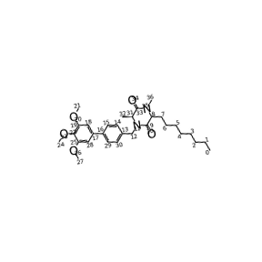 CCCCCCCCC1C(=O)N(Cc2ccc(-c3cc(OC)c(OC)c(OC)c3)cc2)[C@@H](C)C(=O)N1C